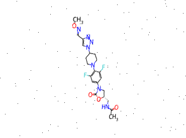 CO/N=C/c1cn(C2CCN(c3c(F)cc(N4C[C@H](CNC(C)=O)OC4=O)cc3F)CC2)nn1